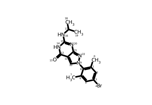 Cc1cc(Br)cc(C)c1-n1cc2c(=O)[nH]c(NC(C)C)nc2n1